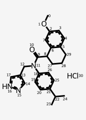 COc1ccc2c(c1)C(C(=O)N(Cc1cn[nH]c1)c1ccc(C(C)C)cc1)CCC2.Cl